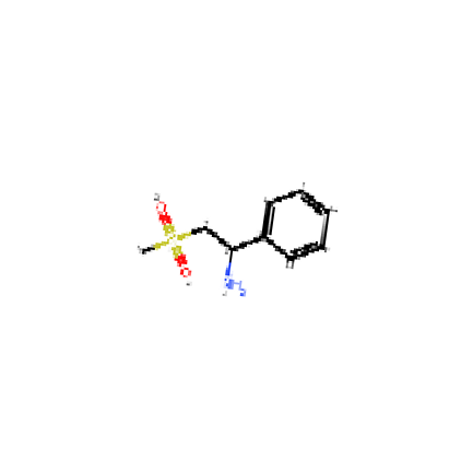 CS(=O)(=O)C[C@H](N)c1ccccc1